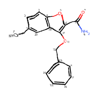 COc1ccc2oc(C(N)=O)c(OCc3ccccc3)c2c1